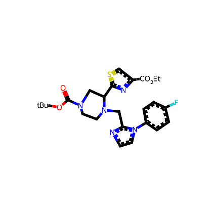 CCOC(=O)c1csc(C2CN(C(=O)OC(C)(C)C)CCN2Cc2nccn2-c2ccc(F)cc2)n1